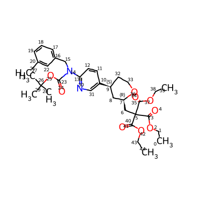 CCOC(=O)C(C[C@H]1C[C@@H](c2ccc(N(Cc3cccc(C)c3)C(=O)OC(C)(C)C)nc2)CCO1)(C(=O)OCC)C(=O)OCC